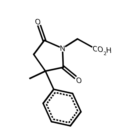 CC1(c2ccccc2)CC(=O)N(CC(=O)O)C1=O